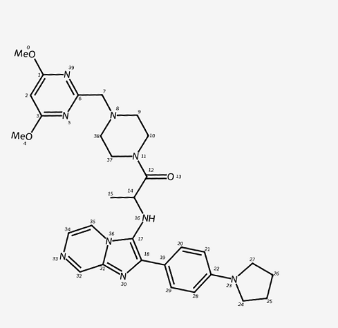 COc1cc(OC)nc(CN2CCN(C(=O)C(C)Nc3c(-c4ccc(N5CCCC5)cc4)nc4cnccn34)CC2)n1